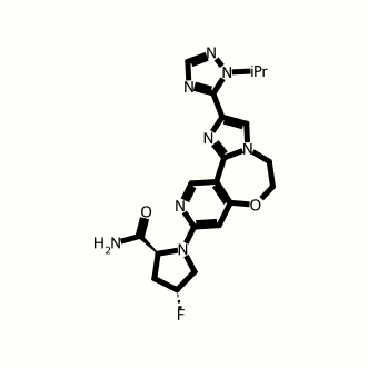 CC(C)n1ncnc1-c1cn2c(n1)-c1cnc(N3C[C@H](F)C[C@H]3C(N)=O)cc1OCC2